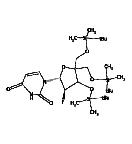 CC(C)(C)[Si](C)(C)OCC1(CO[Si](C)(C)C(C)(C)C)O[C@@H](n2ccc(=O)[nH]c2=O)[C@H](F)C1O[Si](C)(C)C(C)(C)C